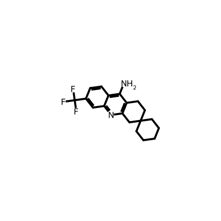 Nc1c2c(nc3cc(C(F)(F)F)ccc13)CC1(CCCCC1)CC2